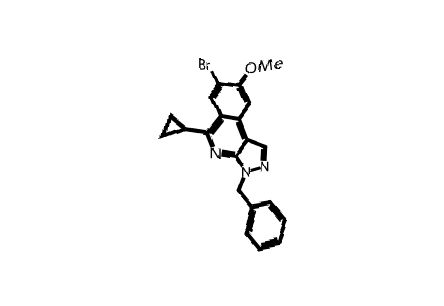 COc1cc2c(cc1Br)c(C1CC1)nc1c2cnn1Cc1ccccc1